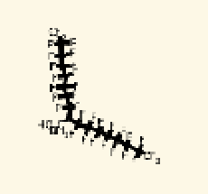 B.O=C(O)C(C(F)(F)C(F)(F)C(F)(F)C(F)(F)C(F)(F)C(F)(F)C(F)(F)C(F)(F)F)C(F)(F)C(F)(F)C(F)(F)C(F)(F)C(F)(F)C(F)(F)C(F)(F)C(F)(F)F